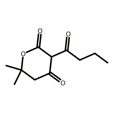 CCCC(=O)C1C(=O)CC(C)(C)OC1=O